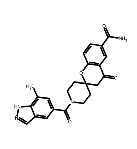 Cc1cc(C(=O)N2CCC3(CC2)CC(=O)c2cc(C(N)=O)ccc2O3)cc2cn[nH]c12